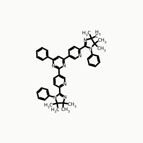 CC1(C)N=C(c2ccc(-c3cc(-c4ccccc4)nc(-c4ccc(C5=NC(C)(C)C(C)(C)N5c5ccccc5)nc4)n3)cn2)N(c2ccccc2)C1(C)C